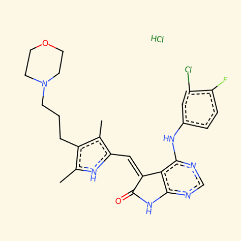 Cc1[nH]c(/C=C2\C(=O)Nc3ncnc(Nc4ccc(F)c(Cl)c4)c32)c(C)c1CCCN1CCOCC1.Cl